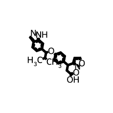 CC(C)C(Oc1ccc(C(CC(=O)O)c2ccon2)cc1)c1ccc2cn[nH]c2c1